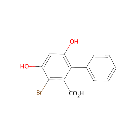 O=C(O)c1c(Br)c(O)cc(O)c1-c1ccccc1